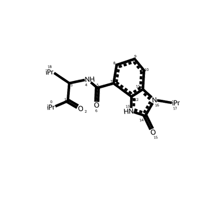 CC(C)C(=O)C(NC(=O)c1cccc2c1[nH]c(=O)n2C(C)C)C(C)C